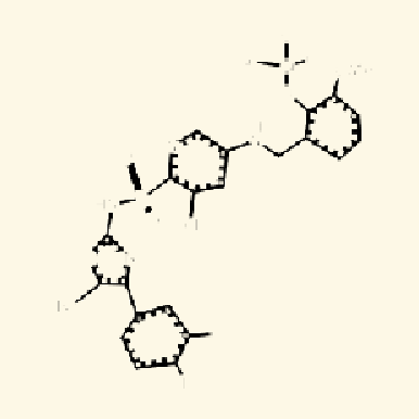 COc1cccc(CNc2cnc(S(=O)(=O)Nc3nc(-c4ccc(F)c(Cl)c4)c(Br)s3)c(C)c2)c1O[Si](C)(C)C(C)(C)C